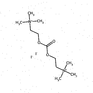 C[N+](C)(C)CCOC(=O)OCC[N+](C)(C)C.[I-].[I-]